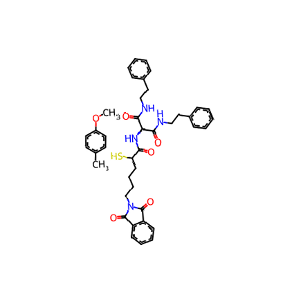 COc1ccc(C)cc1.O=C(NC(C(=O)NCCc1ccccc1)C(=O)NCCc1ccccc1)C(S)CCCCN1C(=O)c2ccccc2C1=O